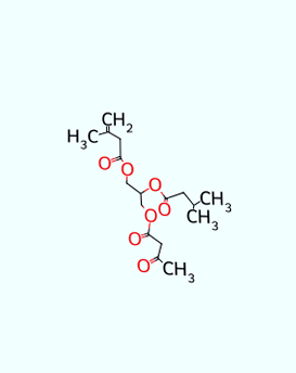 C=C(C)CC(=O)OCC(COC(=O)CC(C)=O)OC(=O)CC(C)C